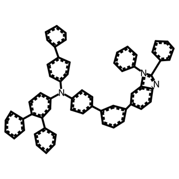 c1ccc(-c2ccc(N(c3ccc(-c4cccc(-c5ccc6nc(-c7ccccc7)n(-c7ccccc7)c6c5)c4)cc3)c3ccc(-c4ccccc4)c(-c4ccccc4)c3)cc2)cc1